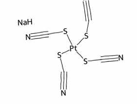 N#C[S][Pt]([S]C#N)([S]C#N)[S]C#N.[NaH]